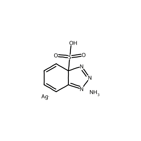 N.O=S(=O)(O)C12C=CC=CC1=NN=N2.[Ag]